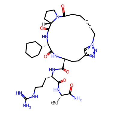 CC(C)(C)[C@H](NC(=O)[C@H](CCCNC(=N)N)NC(=O)[C@@H]1CCc2cn(nn2)CCCCCC(=O)N2CCC[C@H]2C(=O)N[C@@H](C2CCCCC2)C(=O)N1)C(N)=O